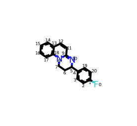 Fc1ccc(C2CCN3C(=N2)C=Cc2ccccc23)cc1